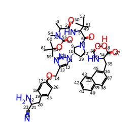 CC(C(=O)NC(C(=O)N1C[C@@H](n2cc(COc3ccc(CC(N)C#N)cc3)nn2)C[C@H]1C(=O)NC(Cc1ccc2ccccc2c1)C(=O)O)C(C)(C)C)N(C)C(=O)OC(C)(C)C